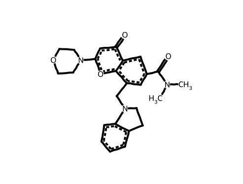 CN(C)C(=O)c1cc(CN2CCc3ccccc32)c2oc(N3CCOCC3)cc(=O)c2c1